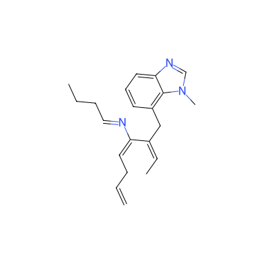 C=CC/C=C(/N=C/CCC)C(=C/C)\Cc1cccc2ncn(C)c12